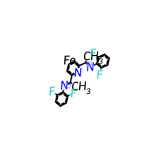 C/C(=N\c1c(F)cccc1F)c1cccc(/C(C)=N/c2c(F)cccc2F)n1.[Fe]